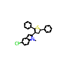 Cn1c(C2=C(c3ccccc3)SC(c3ccccc3)C2)cc2cc(Cl)ccc21